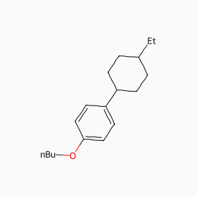 CCCCOc1ccc(C2CCC(CC)CC2)cc1